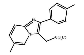 CCOC(=O)Cc1c(-c2ccc(C)cc2)nc2ccc(C)cn12